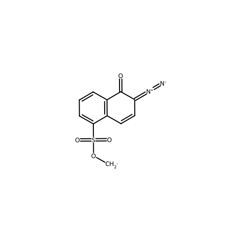 [CH2]OS(=O)(=O)c1cccc2c1C=CC(=[N+]=[N-])C2=O